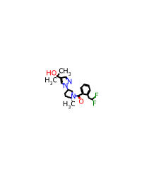 C[C@@H]1CC[C@@H](n2cc(C(C)(C)O)cn2)CN1C(=O)c1ccccc1CC(F)F